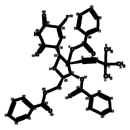 C[Si](C)(C)C#C[C@@]1(OC(=O)c2ccccc2)[C@H](OC(=O)c2ccccc2)[C@@H](COC(=O)c2ccccc2)O[C@H]1n1cc(F)c(=O)[nH]c1=O